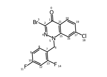 O=c1c(Br)nn(Cc2ccc(F)cc2F)c2cc(Cl)ccc12